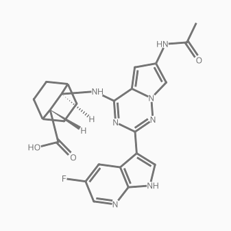 CC(=O)Nc1cc2c(N[C@@H]3C4CCC(CC4)[C@H]3C(=O)O)nc(-c3c[nH]c4ncc(F)cc34)nn2c1